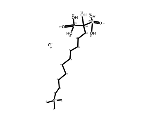 C[N+](C)(C)CCCCCCCCCCC(O)(P(=O)(O)O)P(=O)(O)O.[Cl-]